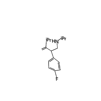 C=C(C(C)C)C(CNC(C)C)c1ccc(F)cc1